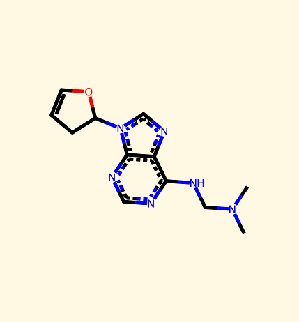 CN(C)CNc1ncnc2c1ncn2C1CC=CO1